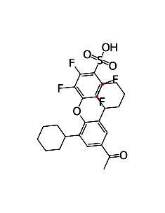 CC(=O)c1cc(C2CCCCC2)c(Oc2c(F)c(F)c(S(=O)(=O)O)c(F)c2F)c(C2CCCCC2)c1